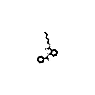 CCCCCOC(=O)c1ccccc1OC(=O)c1ccccc1